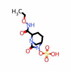 CCONC(=O)C1CCC2CN1C(=O)N2OS(=O)(=O)O